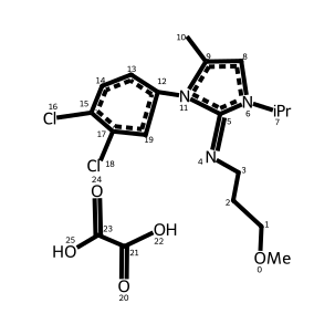 COCCCN=c1n(C(C)C)cc(C)n1-c1ccc(Cl)c(Cl)c1.O=C(O)C(=O)O